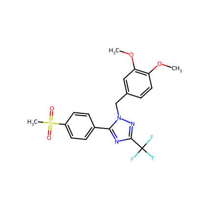 COc1ccc(Cn2nc(C(F)(F)F)nc2-c2ccc(S(C)(=O)=O)cc2)cc1OC